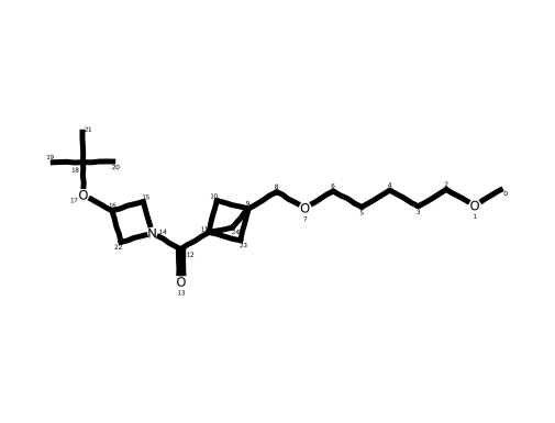 COCCCCCOCC12CC(C(=O)N3CC(OC(C)(C)C)C3)(C1)C2